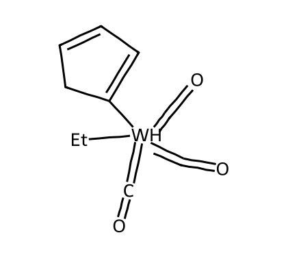 C[CH2][WH](=[C]=O)(=[C]=O)(=[C]=O)[C]1=CC=CC1